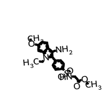 CCn1c(-c2ccc(S(=O)(=O)NCC(=O)OC)cc2)c(N)c2ccc(OC)cc21